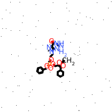 C=C1OC(COP(=O)(COCCn2cnc3c(=O)[nH]c(N)nc32)OCc2ccccc2)=C(C2CCCCC2)O1